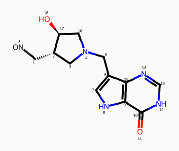 O=NC[C@H]1CN(Cc2c[nH]c3c(=O)[nH]cnc23)C[C@@H]1O